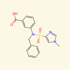 Cn1cnc(S(=O)(=O)N(Cc2ccccc2)c2cccc(C(=O)O)c2)c1